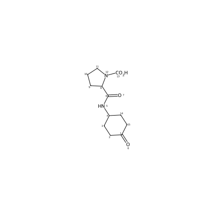 O=C1CCC(NC(=O)C2CCCN2C(=O)O)CC1